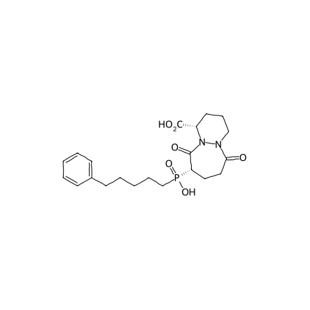 O=C(O)[C@@H]1CCCN2C(=O)CC[C@H](P(=O)(O)CCCCCc3ccccc3)C(=O)N12